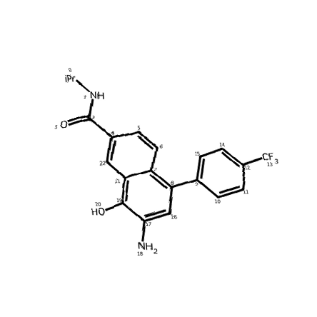 CC(C)NC(=O)c1ccc2c(-c3ccc(C(F)(F)F)cc3)cc(N)c(O)c2c1